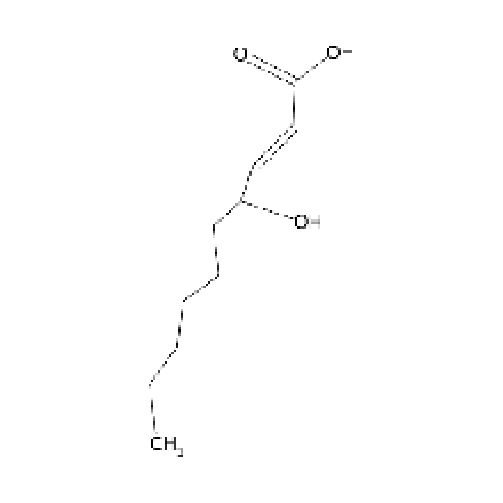 CCCCCCC(O)/C=C/C(=O)O